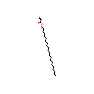 [CH2]CCCCCCCCCCCCCCCCCCCCCOC(=O)C=C